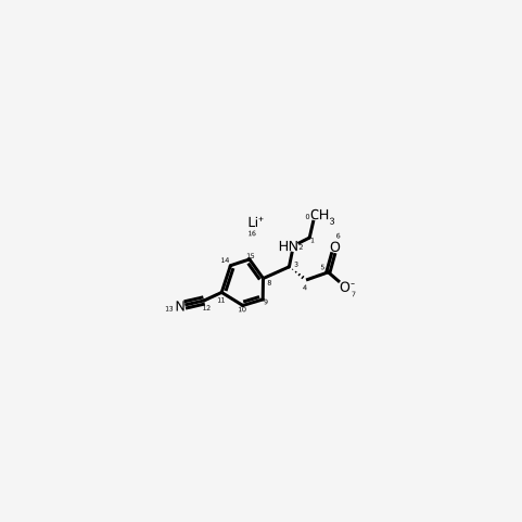 CCN[C@H](CC(=O)[O-])c1ccc(C#N)cc1.[Li+]